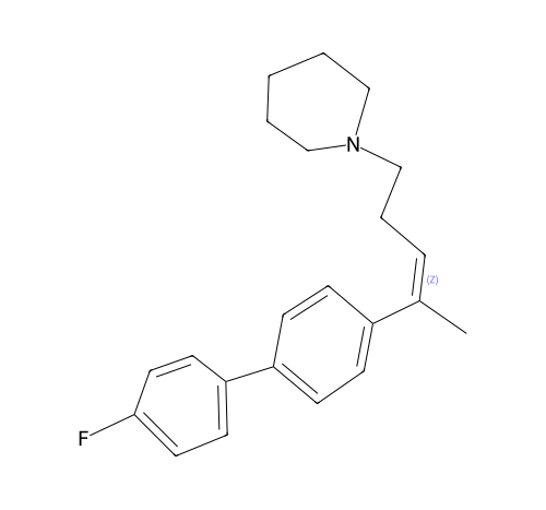 C/C(=C/CCN1CCCCC1)c1ccc(-c2ccc(F)cc2)cc1